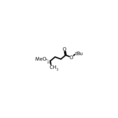 CO[C@@H](C)CCC(=O)OC(C)(C)C